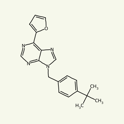 CC(C)(C)c1ccc(Cn2cnc3c(-c4ccco4)ncnc32)cc1